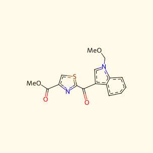 COCn1cc(C(=O)c2nc(C(=O)OC)cs2)c2ccccc21